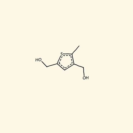 Cc1sc(CO)cc1CO